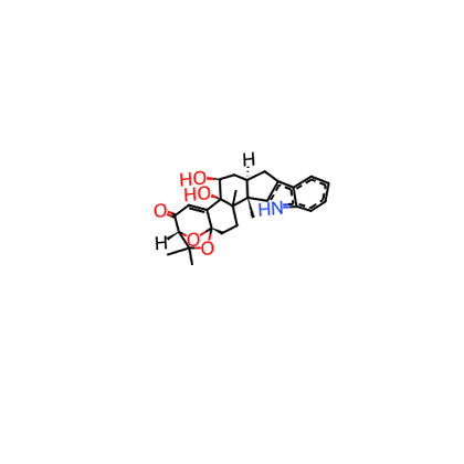 CC1(C)O[C@@]23CCC4(C)[C@@]5(C)c6[nH]c7ccccc7c6C[C@@H]5C[C@H](O)[C@@]4(O)C2=CC(=O)[C@@H]1O3